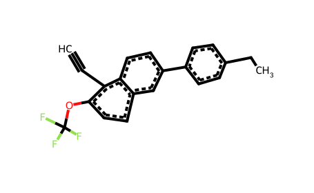 C#Cc1c(OC(F)(F)F)ccc2cc(-c3ccc(CC)cc3)ccc12